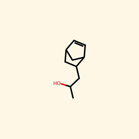 CC(O)CC1CC2C=CC1C2